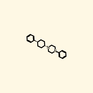 c1ccc(N2CCN([C@H]3CC[C@H](c4ccccc4)CC3)CC2)cc1